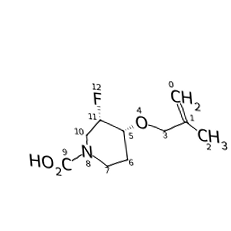 C=C(C)CO[C@@H]1CCN(C(=O)O)C[C@@H]1F